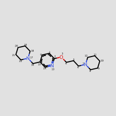 c1cc(OCCCN2CCCCC2)ncc1CN1CCCCC1